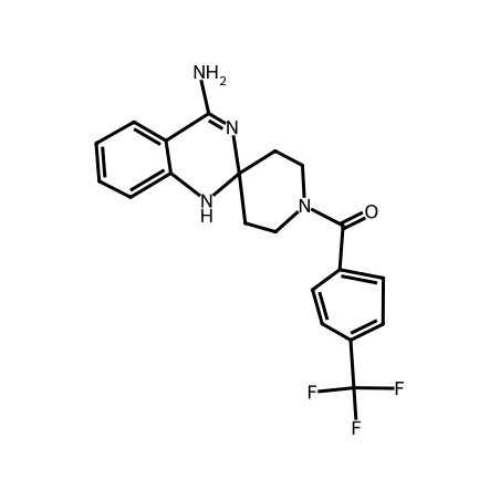 NC1=NC2(CCN(C(=O)c3ccc(C(F)(F)F)cc3)CC2)Nc2ccccc21